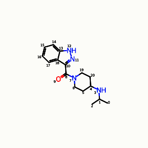 CC(C)NC1CCN(C(=O)c2n[nH]c3ccccc23)CC1